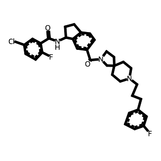 O=C(NC1CCc2ccc(C(=O)N3CCC4(CCN(CCCc5cccc(F)c5)CC4)C3)cc21)c1cc(Cl)ccc1F